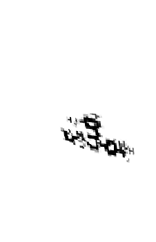 Cc1cccc(CC2CN(S(=O)(=O)c3cccs3)CCN2c2ccc(C(O)(C(F)(F)F)C(F)(F)F)cc2)c1.Cl